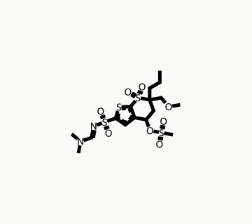 CCCC1(COC)CC(OS(C)(=O)=O)c2cc(S(=O)(=O)N=CN(C)C)sc2S1(=O)=O